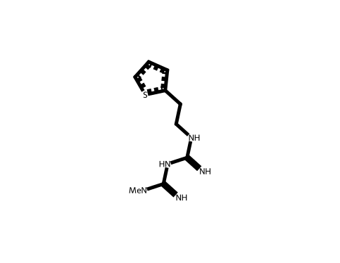 CNC(=N)NC(=N)NCCc1cccs1